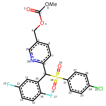 COC(=O)OCc1ccc(C(c2cc(F)ccc2F)S(=O)(=O)c2ccc(Cl)cc2)nc1